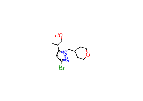 CC(CO)c1cc(Br)nn1CC1CCOCC1